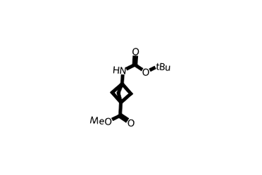 COC(=O)C12CC(NC(=O)OC(C)(C)C)(C1)C2